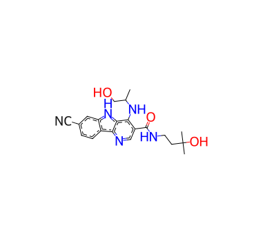 CC(CO)Nc1c(C(=O)NCCC(C)(C)O)cnc2c1[nH]c1cc(C#N)ccc12